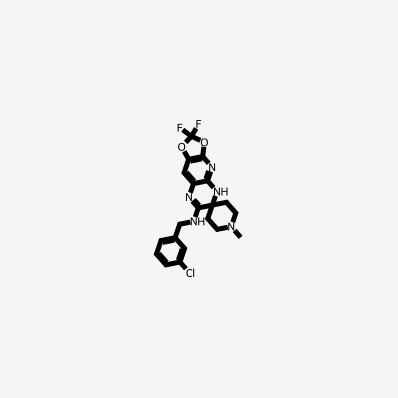 CN1CCC2(CC1)Nc1nc3c(cc1N=C2NCc1cccc(Cl)c1)OC(F)(F)O3